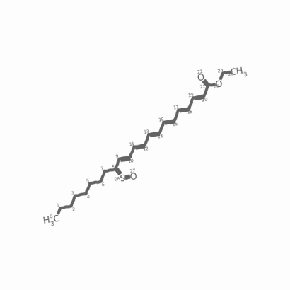 CCCCCCCCC(C=CC=CC=CC=CC=CC=CC(=O)OCC)=S=O